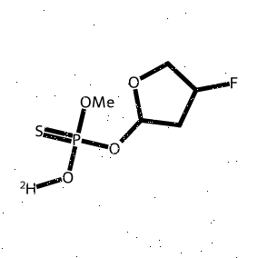 [2H]OP(=S)(OC)OC1CC(F)CO1